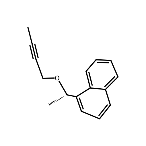 CC#CCO[C@@H](C)c1cccc2ccccc12